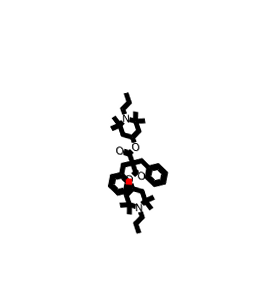 CCCN1C(C)(C)CC(OC(=O)C(Cc2ccccc2)(Cc2ccccc2)C(=O)OC2CC(C)(C)N(CCC)C(C)(C)C2)CC1(C)C